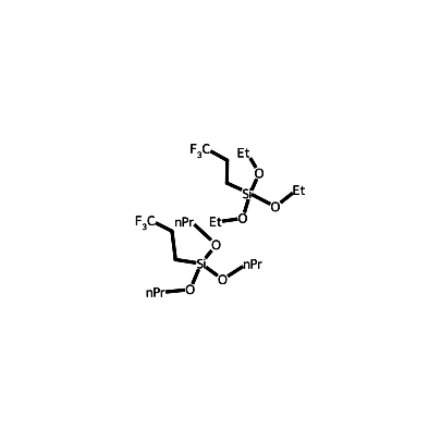 CCCO[Si](CCC(F)(F)F)(OCCC)OCCC.CCO[Si](CCC(F)(F)F)(OCC)OCC